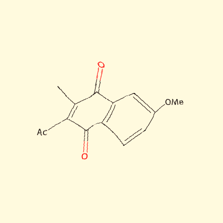 COc1ccc2c(c1)C(=O)C(C)=C(C(C)=O)C2=O